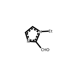 CCn1ccnc1[C]=O